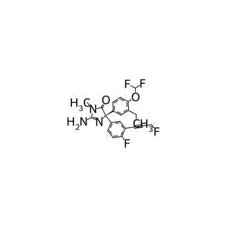 CCc1cc([C@@]2(c3ccc(F)c(C#CCF)c3)N=C(N)N(C)C2=O)ccc1OC(F)F